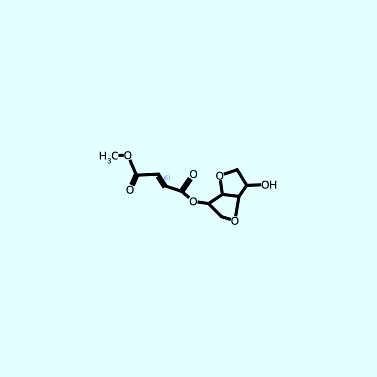 COC(=O)/C=C/C(=O)OC1COC2C(O)COC12